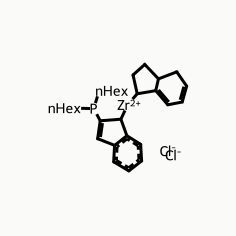 CCCCCCP(CCCCCC)C1=Cc2ccccc2[CH]1[Zr+2][CH]1CCC2CC=CC=C21.[Cl-].[Cl-]